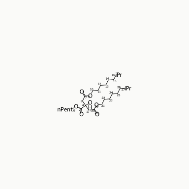 CCCCCOC(=O)C(O)(CC(=O)OCCCCCCC(C)C)CC(=O)OCCCCCCC(C)C